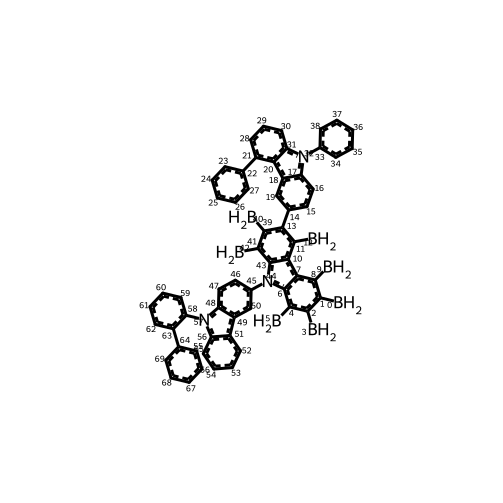 Bc1c(B)c(B)c2c(c1B)c1c(B)c(-c3ccc4c(c3)c3c(-c5ccccc5)cccc3n4-c3ccccc3)c(B)c(B)c1n2-c1ccc2c(c1)c1ccccc1n2-c1ccccc1-c1ccccc1